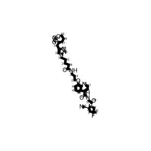 N#C[C@@H]1CC(F)(F)CN1C(=O)CNC(=O)c1ccnc2c(OCCCNC(=O)CCCCn3cc(CC4CCCOS4(=O)=O)nn3)cccc12